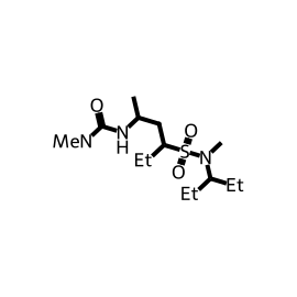 CCC(CC)N(C)S(=O)(=O)C(CC)CC(C)NC(=O)NC